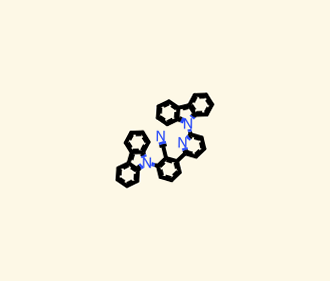 N#Cc1c(-c2cccc(-n3c4ccccc4c4ccccc43)n2)cccc1-n1c2ccccc2c2ccccc21